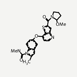 CNC(=O)n1c(C)cc2cc(Oc3ccnc4cc(C(=O)N5CCCC5OC)sc34)ccc21